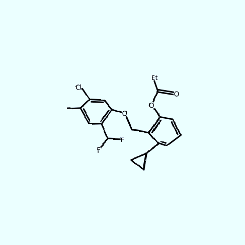 CCC(=O)Oc1cccc(C2CC2)c1COc1cc(Cl)c(C)cc1C(F)F